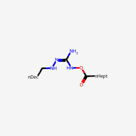 CCCCCCCCCCCNN=C(N)NOC(=O)CCCCCCC